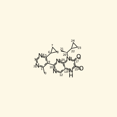 Cc1ncnc(C2CC2)c1-c1ncc2[nH]c(=O)c(=O)n([C@@H](C)C3CC3)c2n1